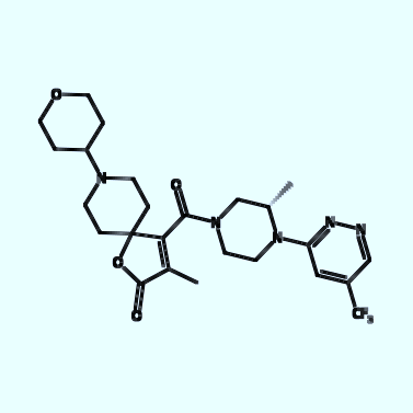 CC1=C(C(=O)N2CCN(c3cc(C(F)(F)F)cnn3)[C@@H](C)C2)C2(CCN(C3CCOCC3)CC2)OC1=O